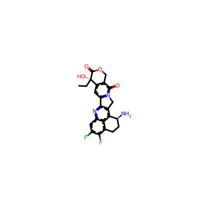 CC[C@@]1(O)C(=O)OCc2c1cc1n(c2=O)Cc2c-1nc1cc(F)c(F)c3c1c2[C@@H](N)CC3